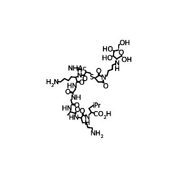 CC(=O)NC(CSC1CC(=O)N(CCCCN[C@H]2C(O)O[C@H](CO)[C@@H](O)[C@@H]2O)C1=O)C(=O)NC(CCCCN)C(=O)NCC(=O)NCC(=O)NC(C)C(=O)NC(CCCCN)C(=O)NC(CC(C)C)C(=O)O